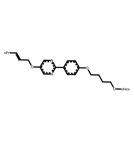 CCCC=CCOc1cnc(-c2ccc(OCCCCOCCCCCC)cc2)nc1